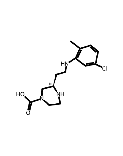 Cc1ccc(Cl)cc1NCC[C@@H]1CN(C(=O)O)CCN1